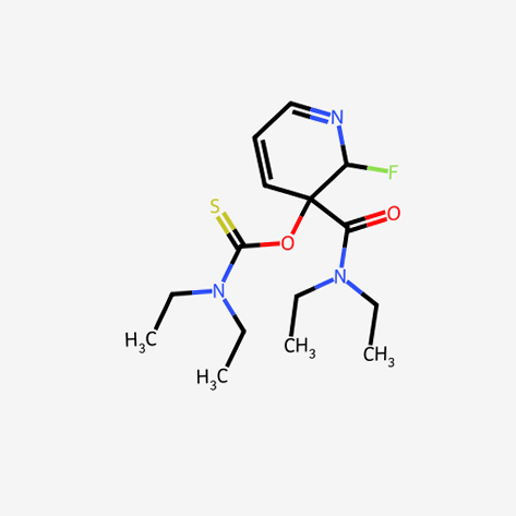 CCN(CC)C(=O)C1(OC(=S)N(CC)CC)C=CC=NC1F